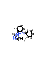 Cc1ccccc1Nc1ccccc1-n1ccnc1